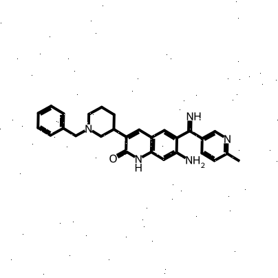 Cc1ccc(C(=N)c2cc3cc(C4CCCN(Cc5ccccc5)C4)c(=O)[nH]c3cc2N)cn1